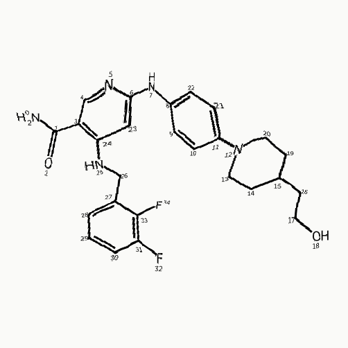 NC(=O)c1cnc(Nc2ccc(N3CCC(CCO)CC3)cc2)cc1NCc1cccc(F)c1F